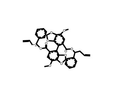 C=CCC(OC(=O)c1cc(OC)c2c(c1-c1c(C(=O)O[C@H](CC=C)c3ccccc3)cc(OC)c3c1OCO3)OCO2)c1ccccc1